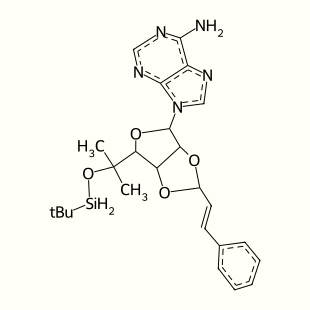 CC(C)(C)[SiH2]OC(C)(C)C1OC(n2cnc3c(N)ncnc32)C2OC(C=Cc3ccccc3)OC21